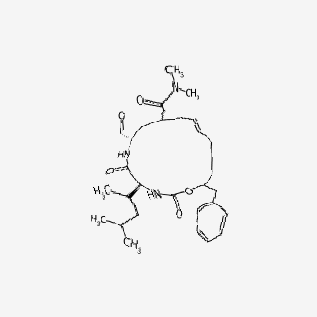 CC(C)CC(C)[C@@H]1NC(=O)OC(Cc2ccccc2)CC/C=C/CC(C(=O)N(C)C)C[C@@H](C=O)NC1=O